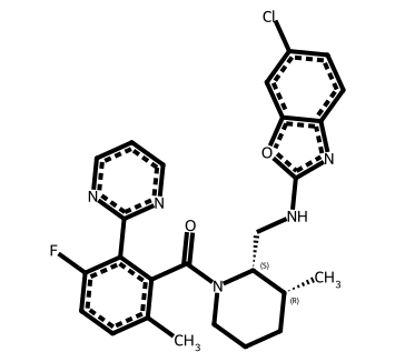 Cc1ccc(F)c(-c2ncccn2)c1C(=O)N1CCC[C@@H](C)[C@H]1CNc1nc2ccc(Cl)cc2o1